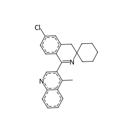 Cc1c(C2=NC3(CCCCC3)Cc3cc(Cl)ccc32)cnc2ccccc12